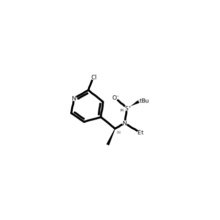 CCN([C@@H](C)c1ccnc(Cl)c1)[S@@+]([O-])C(C)(C)C